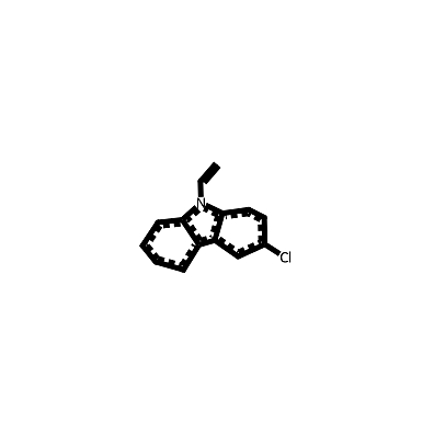 C=Cn1c2ccccc2c2cc(Cl)ccc21